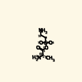 C[C@H](N)C(=O)OS(=O)(=O)CCN